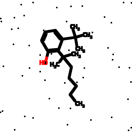 CCCCCC(C)(C)c1c(O)cccc1C(C)(C)C